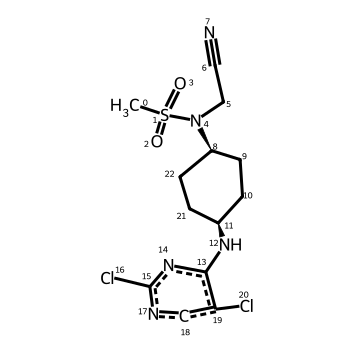 CS(=O)(=O)N(CC#N)[C@H]1CC[C@@H](Nc2nc(Cl)ncc2Cl)CC1